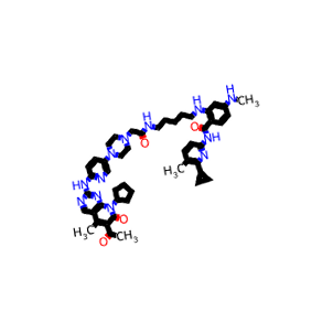 CNc1ccc(C(=O)Nc2ccc(C)c(C3CC3)n2)c(NCCCCCNC(=O)CN2CCN(c3ccc(Nc4ncc5c(C)c(C(C)=O)c(=O)n(C6CCCC6)c5n4)nc3)CC2)c1